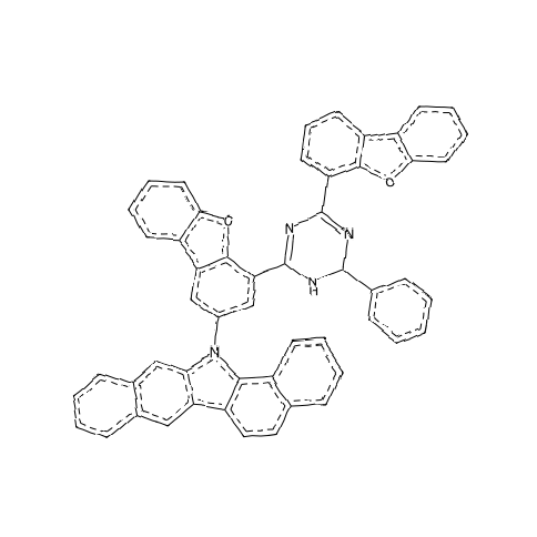 c1ccc(C2N=C(c3cccc4c3oc3ccccc34)N=C(c3cc(-n4c5cc6ccccc6cc5c5ccc6ccccc6c54)cc4c3oc3ccccc34)N2)cc1